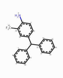 Nc1ccc(C(c2ccccc2)c2ccccc2)cc1C(F)(F)F